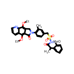 CCOc1c2c(c(OCC)c3ncccc13)CN(c1ccc(CS(=O)(=O)NC(=O)C(C)c3ccccc3OC)cc1C)C2=O